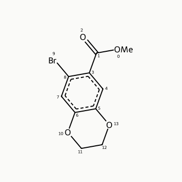 COC(=O)c1cc2c(cc1Br)OCCO2